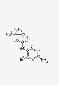 CC(C)(C)OC(=O)Nc1ncc(N)cc1Br